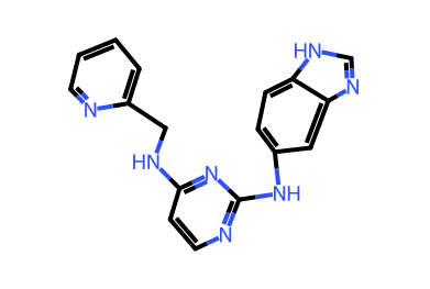 c1ccc(CNc2ccnc(Nc3ccc4[nH]cnc4c3)n2)nc1